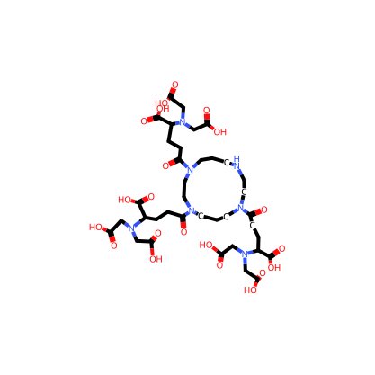 O=C(O)CN(CC(=O)O)C(CCC(=O)N1CCCN(C(=O)CCC(C(=O)O)N(CC(=O)O)CC(=O)O)CCN(C(=O)CCC(C(=O)O)N(CC(=O)O)CC(=O)O)CCCNCC1)C(=O)O